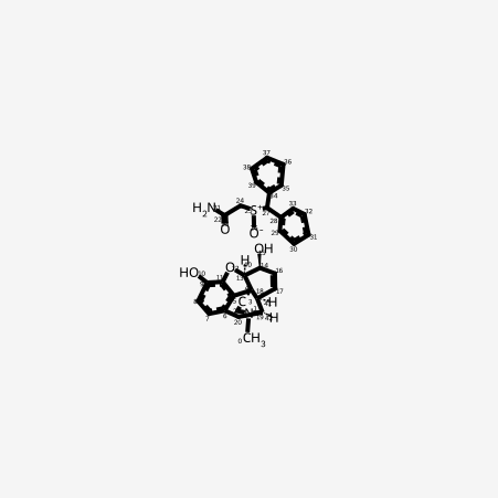 CN1CC[C@]23c4c5ccc(O)c4O[C@H]2[C@@H](O)C=C[C@H]3[C@H]1C5.NC(=O)C[S+]([O-])C(c1ccccc1)c1ccccc1